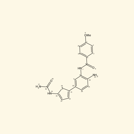 COc1ccc(C(=O)Nc2cc(-c3ccc(NC(N)=O)s3)ccc2N)cc1